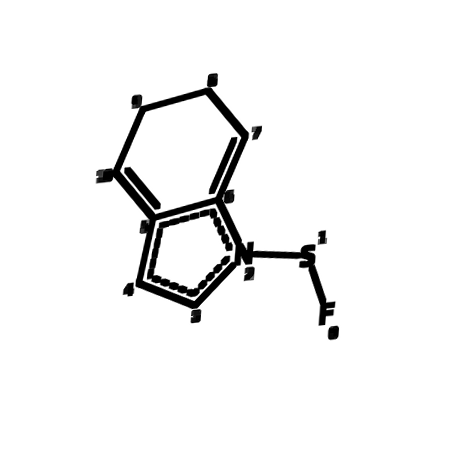 FSn1ccc2c1=CCCC=2